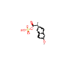 COc1ccc2cc([C@H](C)C(=O)OS(=O)(=O)O)ccc2c1